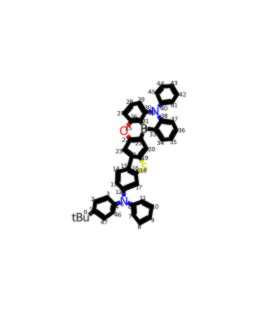 CC(C)(C)c1ccc(N(c2ccccc2)c2ccc3c(c2)sc2cc4c(cc23)Oc2cccc3c2B4c2ccccc2N3c2ccccc2)cc1